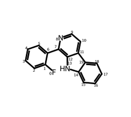 Fc1ccccc1-c1nccc2c1[nH]c1ccccc12